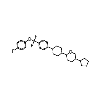 Fc1ccc(OC(F)(F)c2ccc(C3CCC(C4CCC(C5CCCC5)CO4)CC3)cc2)cc1